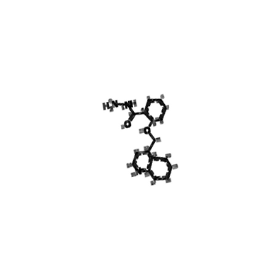 NNC(=O)c1ccccc1OCc1ccnc2ccccc12